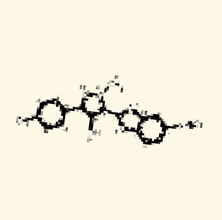 [C-]#[N+]c1ccc2nc(-c3c(O)c(-c4ccc(Cl)cc4)nn3C)[nH]c2c1